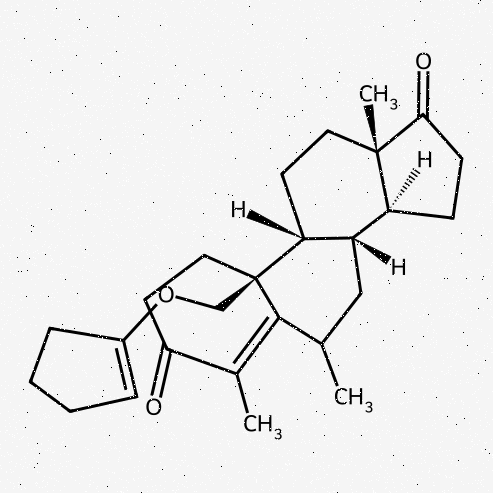 CC1=C2C(C)C[C@@H]3[C@@H](CC[C@]4(C)C(=O)CC[C@@H]34)[C@@]2(COC2=CCCC2)CCC1=O